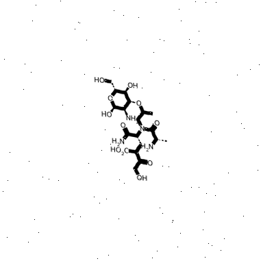 CC(CN(C(=O)[C@H](C)N)[C@H](CC(C(=O)O)C(=O)CO)C(N)=O)O[C@@H]1[C@@H](N)[C@@H](O)O[C@H](CO)[C@H]1O